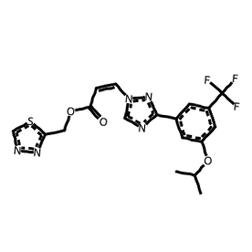 CC(C)Oc1cc(-c2ncn(/C=C\C(=O)OCc3nncs3)n2)cc(C(F)(F)F)c1